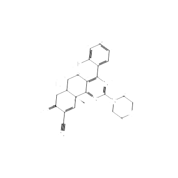 C[C@H]1C(=O)C(C#N)=C[C@@]2(C)c3nc(N4CCOCC4)nc(-c4ccccc4F)c3CC[C@H]12